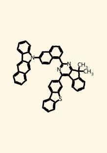 CC1(C)c2ccccc2-c2c(-c3ccc4c(c3)sc3ccccc34)nc(-c3cccc4cc(-n5c6ccccc6c6cc7ccccc7cc65)ccc34)nc21